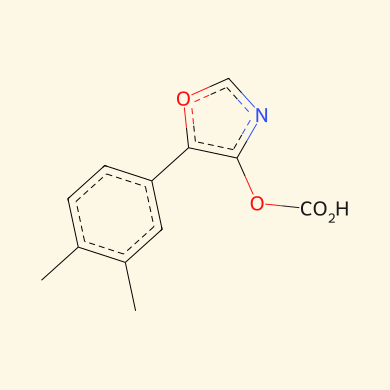 Cc1ccc(-c2ocnc2OC(=O)O)cc1C